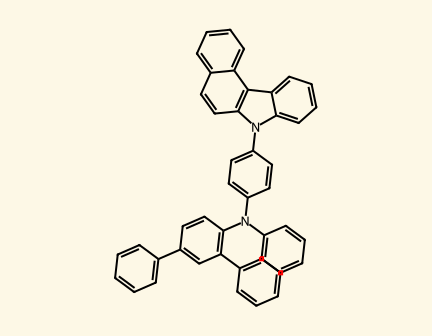 c1ccc(-c2ccc(N(c3ccccc3)c3ccc(-n4c5ccccc5c5c6ccccc6ccc54)cc3)c(-c3ccccc3)c2)cc1